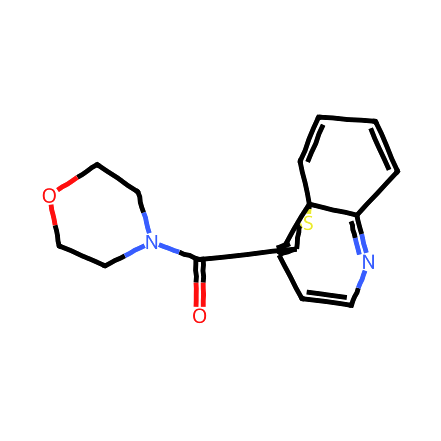 O=C(C1=C2C=CN=C3C=CC=CC32SC1)N1CCOCC1